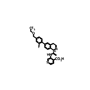 C=C(Nc1cnccc1C(=O)O)[C@@H]1N=CCc2cc(-c3ccc(COCC(F)(F)F)cc3F)ccc21